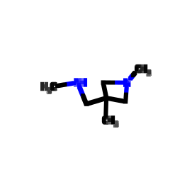 CNCC1(C)CN(C)C1